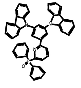 O=P(c1ccccc1)(c1ccccc1)c1cccc(-c2cc(-n3c4ccccc4c4ccccc43)cc(-n3c4ccccc4c4ccccc43)c2)n1